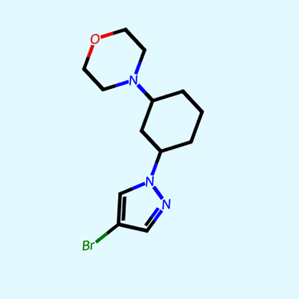 Brc1cnn(C2CCCC(N3CCOCC3)C2)c1